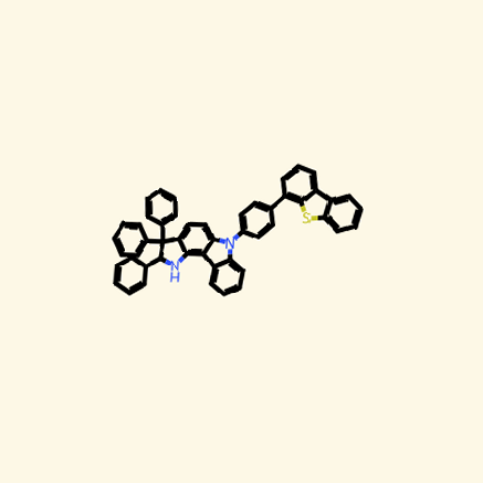 C1=CCC(C2Nc3c(ccc4c3c3ccccc3n4-c3ccc(-c4cccc5c4sc4ccccc45)cc3)C2(c2ccccc2)c2ccccc2)C=C1